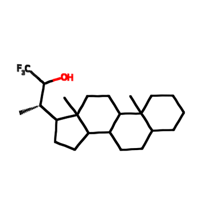 C[C@H](C(O)C(F)(F)F)C1CCC2C3CCC4CCCCC4(C)C3CCC21C